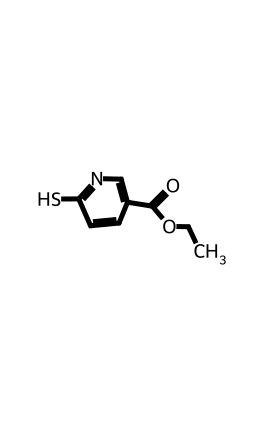 CCOC(=O)c1ccc(S)nc1